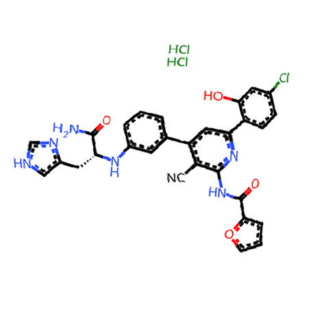 Cl.Cl.N#Cc1c(-c2cccc(N[C@H](Cc3c[nH]cn3)C(N)=O)c2)cc(-c2ccc(Cl)cc2O)nc1NC(=O)c1ccco1